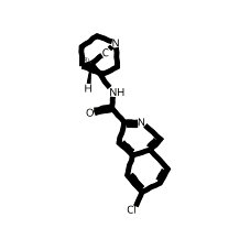 O=C(N[C@H]1CN2CCC1CC2)c1cc2cc(Cl)ccc2cn1